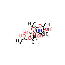 CC(O)COC(C)COC(C)C(C)(O)NC(C)(O)C(C)OCC(C)OCC(C)O